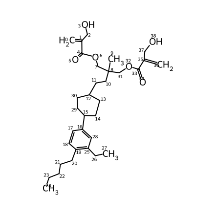 C=C(CO)C(=O)OCC(C)(CCC1CCC(c2ccc(CCCCC)c(CC)c2)CC1)COC(=O)C(=C)CO